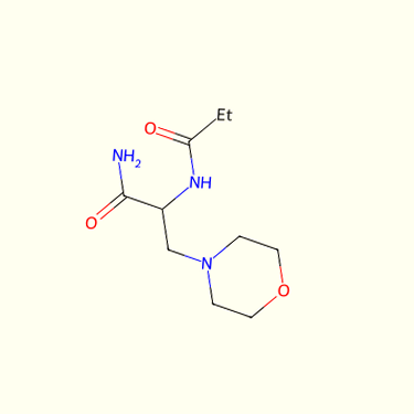 CCC(=O)NC(CN1CCOCC1)C(N)=O